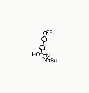 CC(C)(C)c1ncc(C(O)c2ccc(-c3ccc(OC(F)(F)F)cc3)cc2)cn1